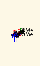 C=CC(=O)Nc1cn(C)nc1Nc1ccc2oc(C(=O)c3c(F)c(OC)cc(OC)c3F)cc2n1